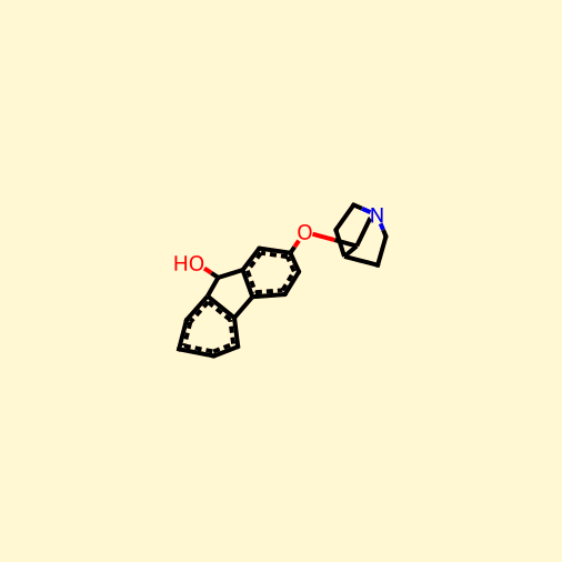 OC1c2ccccc2-c2ccc(OC3CN4CCC3CC4)cc21